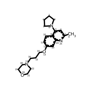 Cc1cc(N2CCCC2)c2ccc(OCCCN3CCOCC3)cc2n1